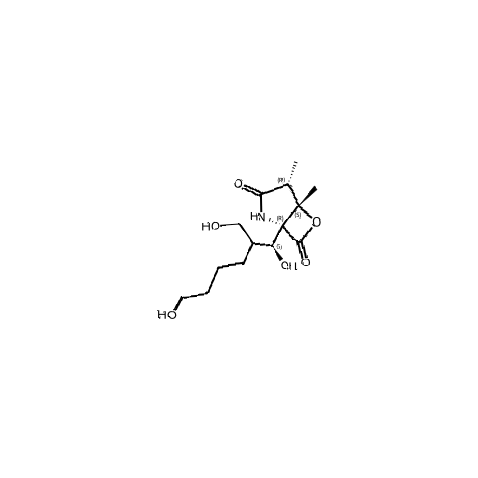 C[C@H]1C(=O)N[C@@]2([C@@H](O)C(CO)CCCCO)C(=O)O[C@@]12C